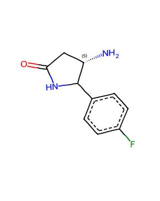 N[C@H]1CC(=O)NC1c1ccc(F)cc1